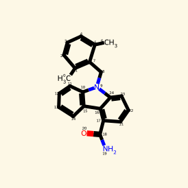 Cc1cccc(C)c1Cn1c2ccc[c]c2c2c(C(N)=O)cccc21